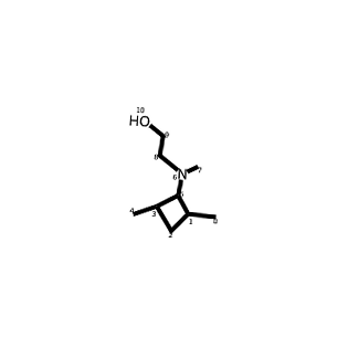 CC1CC(C)C1N(C)CCO